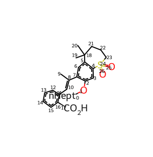 CCCCCCCOc1cc2c(cc1C(C)=Cc1ccccc1C(=O)O)C(C)(C)CCCS2(=O)=O